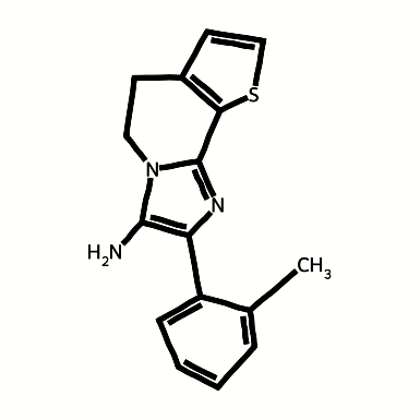 Cc1ccccc1-c1nc2n(c1N)CCc1ccsc1-2